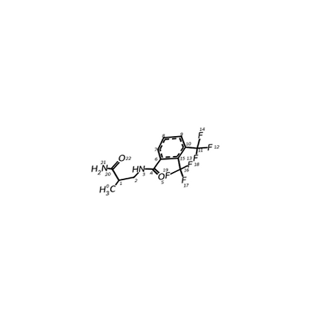 CC(CNC(=O)c1cccc(C(F)(F)F)c1C(F)(F)F)C(N)=O